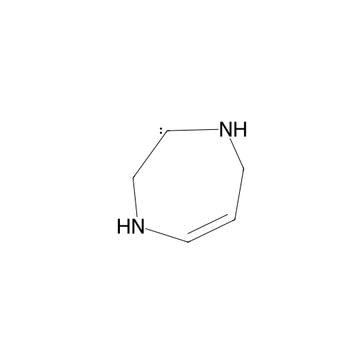 [C]1CNC=CCN1